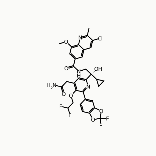 COc1cc(C(=O)NC[C@](O)(c2cc(CC(N)=O)c(OCC(F)F)c(-c3ccc4c(c3)OC(F)(F)O4)n2)C2CC2)cc2cc(Cl)c(C)nc12